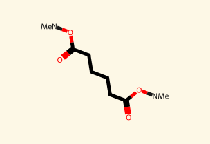 CNOC(=O)CCCCC(=O)ONC